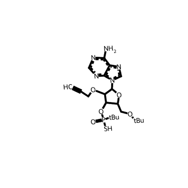 C#CCOC1C(OP(=O)(S)C(C)(C)C)C(COC(C)(C)C)OC1n1cnc2c(N)ncnc21